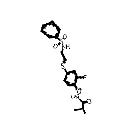 CC(C)C(=O)NOc1ccc(SCCNS(=O)(=O)c2ccccc2)cc1F